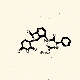 CC(C)(C)OC(=O)N[C@H](C(=O)Nc1cccc2c1CN(C1CCC(=O)NC1=O)C2=O)c1ccccc1